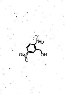 O=[N+]([O-])c1ccc([N+](=O)[O-])c(CO)c1